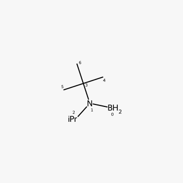 BN(C(C)C)C(C)(C)C